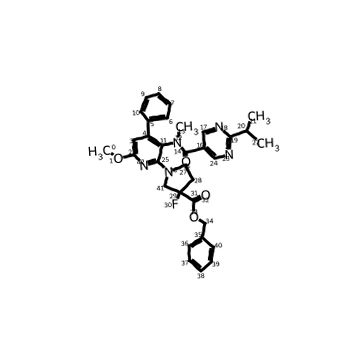 COc1cc(-c2ccccc2)c(N(C)C(=O)c2cnc(C(C)C)nc2)c(N2CCC(F)(C(=O)OCc3ccccc3)C2)n1